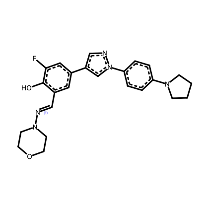 Oc1c(F)cc(-c2cnn(-c3ccc(N4CCCC4)cc3)c2)cc1/C=N/N1CCOCC1